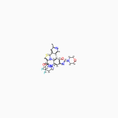 Cc1cc(C2SC=C(C(N)=O)N2c2cc3oc(N4CCOCC4)nc3cc2N2CCC(F)(F)CC2)ccn1